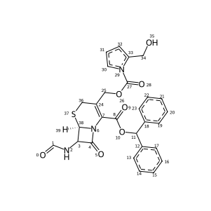 O=CNC1C(=O)N2C(C(=O)OC(c3ccccc3)c3ccccc3)=C(COC(=O)n3cccc3CO)CS[C@H]12